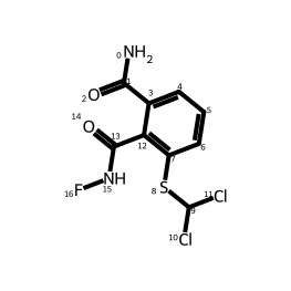 NC(=O)c1cccc(SC(Cl)Cl)c1C(=O)NF